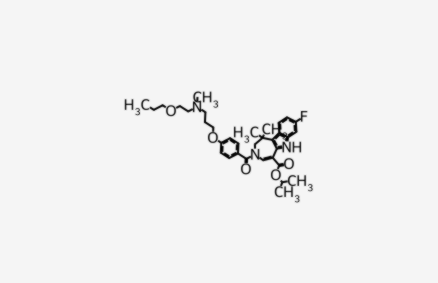 CCCOCCN(C)CCCOc1ccc(C(=O)N2C=C(C(=O)OC(C)C)c3[nH]c4cc(F)ccc4c3C(C)(C)C2)cc1